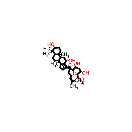 CC(C)=CCCC(C)(C1CC[C@]2(C)C1[C@H](O)CC1[C@@]3(C)CC[C@H](O)C(C)(C)C3CC[C@]12C)C1OC(CO)[C@H](O)C[C@H]1O